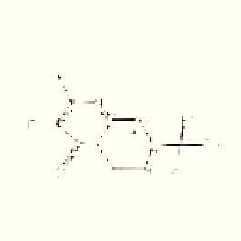 O=c1c(F)c(Cl)nc2n1CC[C@H](C(F)(F)F)N2